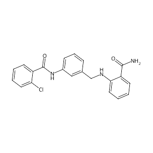 NC(=O)c1ccccc1NCc1cccc(NC(=O)c2ccccc2Cl)c1